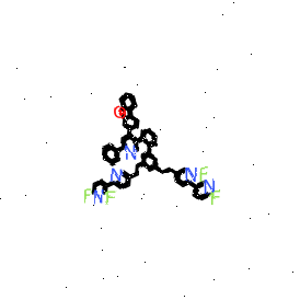 Fc1ccc(-c2ccc(CCc3cc(CCc4ccc(-c5ccc(F)nc5F)nc4)cc(-c4ccccc4-c4cnc(-c5ccccc5)cc4-c4ccc5c(c4)oc4ccccc45)c3)cn2)c(F)n1